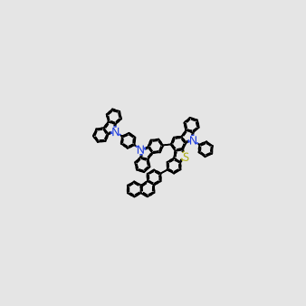 c1ccc(-n2c3ccccc3c3cc(-c4ccc5c(c4)c4ccccc4n5-c4ccc(-n5c6ccccc6c6ccccc65)cc4)c4c5cc(-c6ccc7c(ccc8ccccc87)c6)ccc5sc4c32)cc1